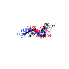 CC(C)C[C@H](NC(=O)[C@@H]1CCCN1C(=O)[C@@H](NC(=O)[C@@H](NC(=O)[C@H](C)NC(=O)[C@H](CO)NC(=O)[C@H](CC(C)C)NC(=O)[C@H](CO)NC(=O)[C@@H](N)CCCCN)[C@@H](C)O)C(C)C)C(=O)O